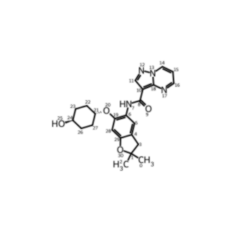 CC1(C)Cc2cc(NC(=O)c3cnn4cccnc34)c(O[C@H]3CC[C@H](O)CC3)cc2O1